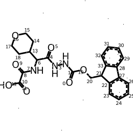 O=C(NNC(=O)C(NC(=O)C(=O)O)C1CCOCC1)OCC1c2ccccc2-c2ccccc21